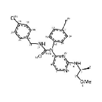 COC[C@H](C)Nc1nccc(N(C(=O)NCc2ccc(Cl)cc2)c2ccc(F)cc2)n1